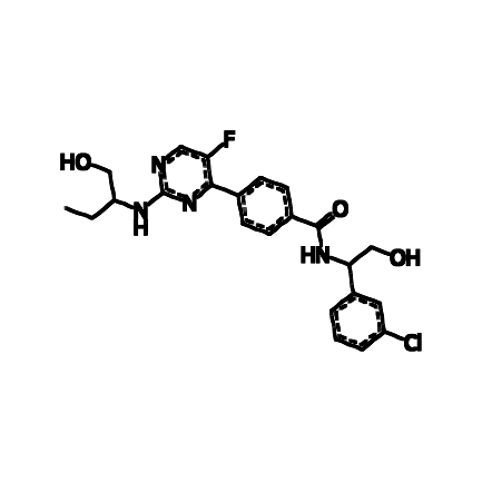 CCC(CO)Nc1ncc(F)c(-c2ccc(C(=O)NC(CO)c3cccc(Cl)c3)cc2)n1